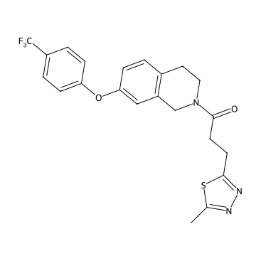 Cc1nnc(CCC(=O)N2CCc3ccc(Oc4ccc(C(F)(F)F)cc4)cc3C2)s1